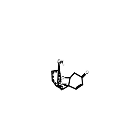 CN1CCC23C=CC(=O)CC2Oc2c(O)ccc(c23)C1